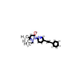 CCN1N(c2ccc(C#Cc3ccccc3)cn2)C(=O)CC1(C)C